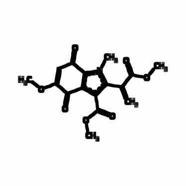 C=C(C(=O)OC)c1c(C(=O)OC)c2c(n1C)C(=O)C=C(OC)C2=O